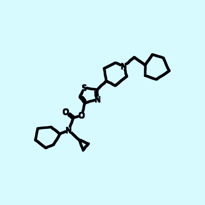 O=C(Oc1csc(C2CCN(CC3CCCCC3)CC2)n1)N(C1CCCCC1)C1CC1